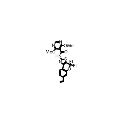 C=Cc1ccc2c(c1)OC(CC)(CC)c1sc(NC(=O)c3c(OC)ncnc3OC)nc1-2